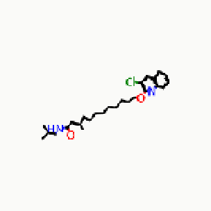 CC(/C=C/CCCCCCCOc1nc2ccccc2cc1Cl)=C\C(=O)NCC(C)C